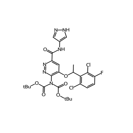 CC(Oc1cc(C(=O)Nc2cn[nH]c2)nnc1N(C(=O)OC(C)(C)C)C(=O)OC(C)(C)C)c1c(Cl)ccc(F)c1Cl